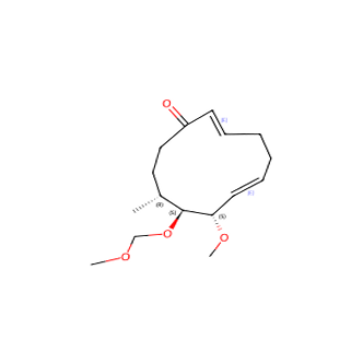 COCO[C@H]1[C@H](C)CCC(=O)/C=C/CC/C=C/[C@@H]1OC